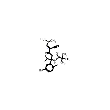 CN(C)/C=C(\C#N)C(=O)CC(N[S+]([O-])C(C)(C)C)(c1cc(Br)ccc1F)C(F)F